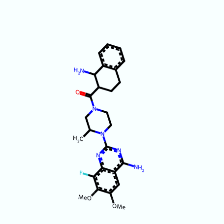 COc1cc2c(N)nc(N3CCN(C(=O)C4CCc5ccccc5C4N)CC3C)nc2c(F)c1OC